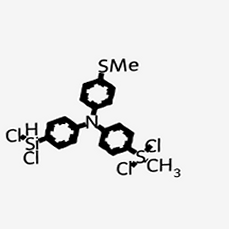 CSc1ccc(N(c2ccc([SiH](Cl)Cl)cc2)c2ccc(S(C)(Cl)Cl)cc2)cc1